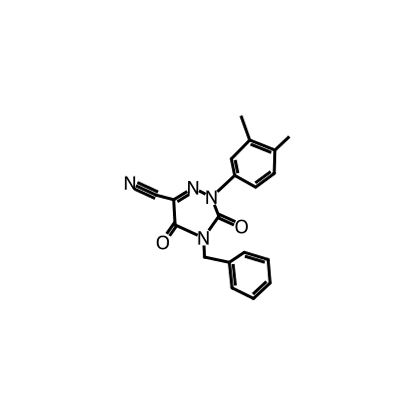 Cc1ccc(-n2nc(C#N)c(=O)n(Cc3ccccc3)c2=O)cc1C